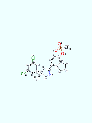 O=S(=O)(Oc1ccc(C2=NCC(c3cc(Cl)cc(Cl)c3)(C(F)(F)F)C2)c2c1CCC2)C(F)(F)F